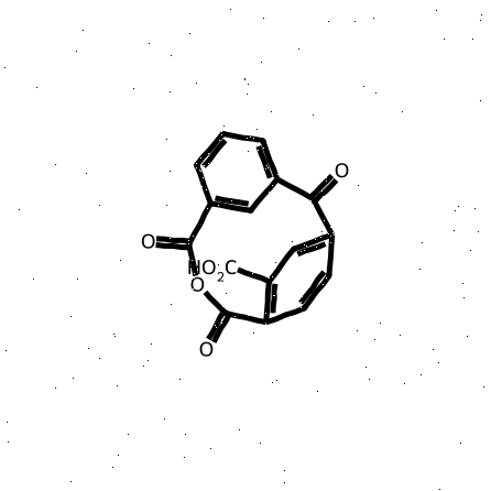 O=C1OC(=O)c2ccc(cc2C(=O)O)C(=O)c2cccc1c2